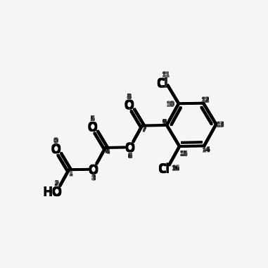 O=C(O)OC(=O)OC(=O)c1c(Cl)cccc1Cl